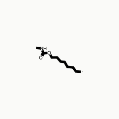 [CH2]CCCCCCCOC(=O)NC